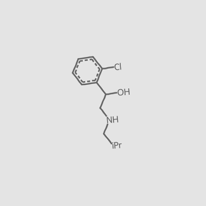 CC(C)CNCC(O)c1ccccc1Cl